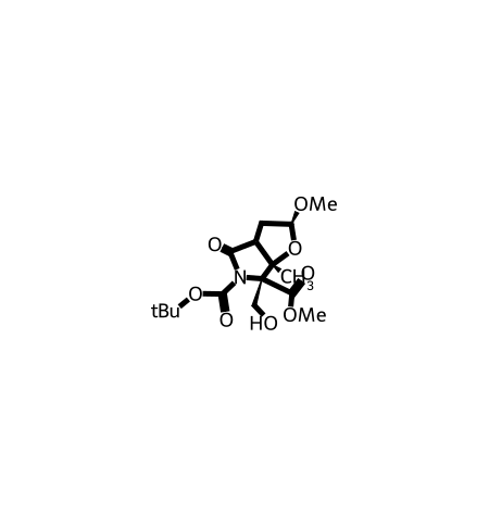 COC(=O)[C@]1(CO)N(C(=O)OC(C)(C)C)C(=O)C2C[C@@H](OC)O[C@@]21C